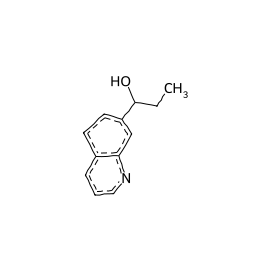 CCC(O)c1ccc2cccnc2c1